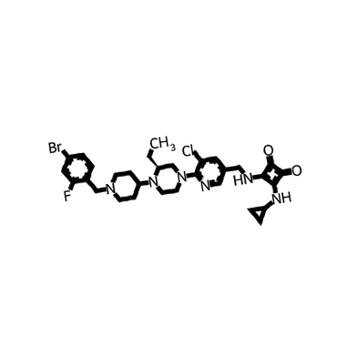 CC[C@H]1CN(c2ncc(CNc3c(NC4CC4)c(=O)c3=O)cc2Cl)CCN1C1CCN(Cc2ccc(Br)cc2F)CC1